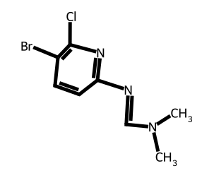 CN(C)/C=N/c1ccc(Br)c(Cl)n1